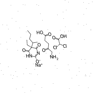 CCCC(C)C1(CC)C(=O)N=C([O-])NC1=O.NCC(=O)CCC(=O)O.O=C(O)C(Cl)Cl.[Na+]